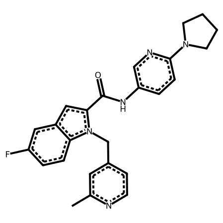 Cc1cc(Cn2c(C(=O)Nc3ccc(N4CCCC4)nc3)cc3cc(F)ccc32)ccn1